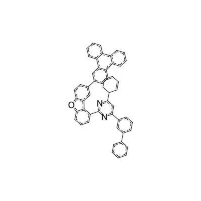 C1=CCC(c2cc(-c3cccc(-c4ccccc4)c3)nc(-c3cccc4oc5ccc(-c6ccc7c8ccccc8c8ccccc8c7c6)cc5c34)n2)C=C1